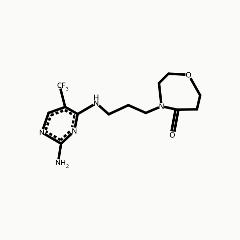 Nc1ncc(C(F)(F)F)c(NCCCN2CCOCCC2=O)n1